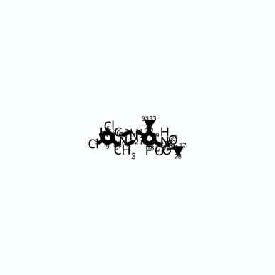 C[C@H](c1cc(Cl)cc(Cl)c1)N1CCN(Cc2cc(F)c(C(=O)NS(=O)(=O)C3CC3)cc2C2CC2)C[C@@H]1C